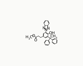 COC(=O)CCc1cc(-n2nc3ccccc3n2)c(O)c(C(C)(c2ccccc2)c2ccccc2)c1